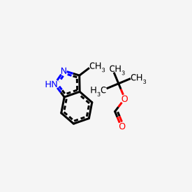 CC(C)(C)OC=O.Cc1n[nH]c2ccccc12